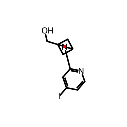 OCC12CC(C1)N(c1cc(I)ccn1)C2